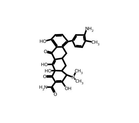 Cc1ccc(-c2ccc(O)c3c2CC2CC4C(N(C)C)C(O)=C(C(N)=O)C(=O)C4(O)C(O)=C2C3=O)cc1N